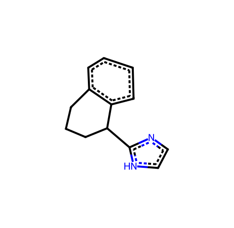 c1ccc2c(c1)CCCC2c1ncc[nH]1